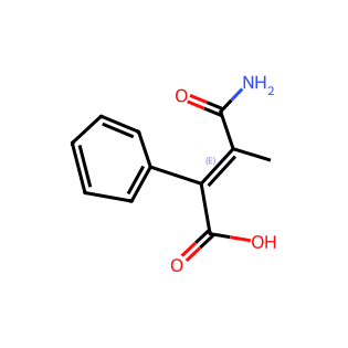 C/C(C(N)=O)=C(\C(=O)O)c1ccccc1